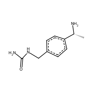 C[C@@H](N)c1ccc(CNC(N)=O)cc1